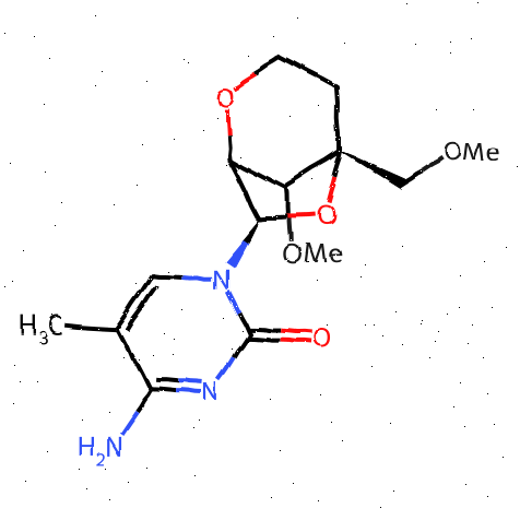 COC[C@]12CCOC(C1OC)[C@H](n1cc(C)c(N)nc1=O)O2